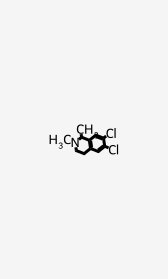 CC1c2cc(Cl)c(Cl)cc2CCN1C